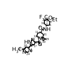 CCO[C@]1(C(F)(F)F)CC[C@H](NC(=O)[C@@H]2CCN(C(=O)c3cc(-c4cc(C)ncn4)[nH]n3)C3(CC3)C2)CC1